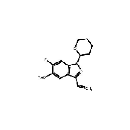 C=Cc1nn(C2CCCCO2)c2cc(F)c(OC)cc12